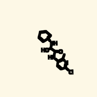 Cc1nc(Cl)ccc1NC(=O)C(O)Nc1ccccc1